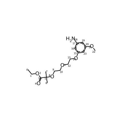 CCOC(=O)C(C)(C)OCCOCCOc1cc(N)cc(OC)c1